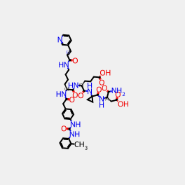 Cc1ccccc1NC(=O)Nc1ccc(CC(=O)N[C@@H](CCCCNC(=O)/C=C/c2cccnc2)C(=O)N[C@@H](CCCC(=O)O)C(=O)NC2(C(=O)N[C@H](CC(=O)O)C(N)=O)CC2)cc1